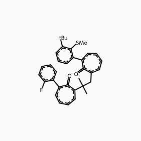 CSc1c(-c2ccccc(CC(C)(C)c3ccccc(-c4ccccc4F)c3=O)c2=O)cccc1C(C)(C)C